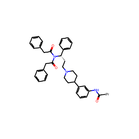 CC(C)C(=O)Nc1cccc(C2CCN(CC[C@@H](c3ccccc3)N(C(=O)Cc3ccccc3)C(=O)Cc3ccccc3)CC2)c1